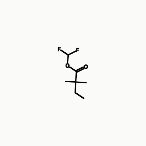 CCC(C)(C)C(=O)OC(F)F